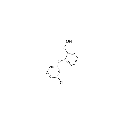 OCc1cccnc1Oc1cccc(Cl)c1